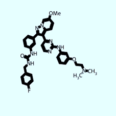 COc1ccc2c(-c3ccnc(Nc4cccc(OCCN(C)C)c4)n3)c(-c3cccc(NC(=O)NCc4ccc(F)cc4)c3)nn2c1